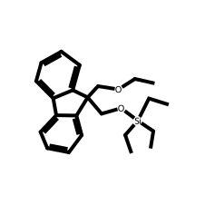 CCOCC1(CO[Si](CC)(CC)CC)c2ccccc2-c2ccccc21